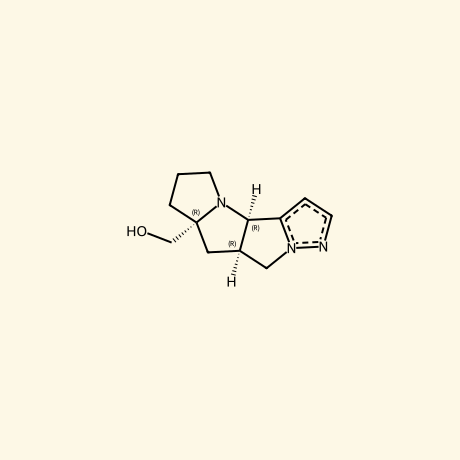 OC[C@]12CCCN1[C@H]1c3ccnn3C[C@H]1C2